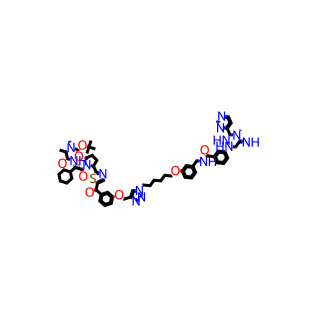 CC(C(=O)N[C@H](C(=O)N1CCCC1c1ncc(C(=O)c2cccc(OCc3cn(CCCCCCOc4cccc(CNC(=O)c5cccc(NCC(=N)N(C)C(=N)c6ccncn6)c5)c4)nn3)c2)s1)C1CCCCC1)N(C)C(=O)OC(C)(C)C